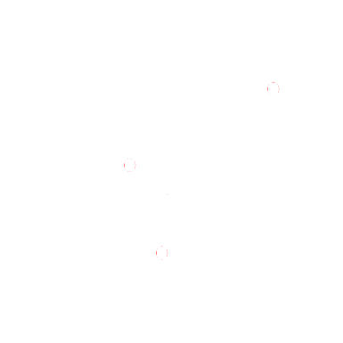 CCOC(=O)C1(C(C)C)CCOCC1